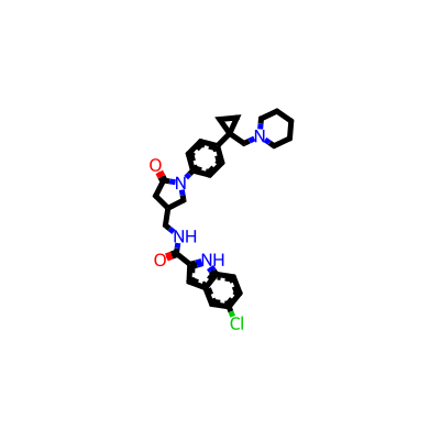 O=C(NCC1CC(=O)N(c2ccc(C3(CN4CCCCC4)CC3)cc2)C1)c1cc2cc(Cl)ccc2[nH]1